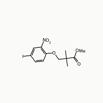 COC(=O)C(C)(C)COc1ccc(I)cc1[N+](=O)[O-]